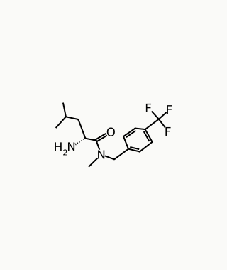 CC(C)C[C@@H](N)C(=O)N(C)Cc1ccc(C(F)(F)F)cc1